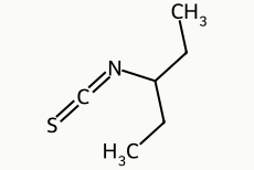 CCC(CC)N=C=S